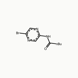 CCCCC(=O)Nc1cnc(Br)cn1